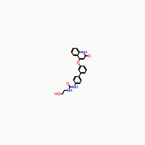 O=C(NCCO)Nc1ccc(-c2cccc(Oc3cc(=O)[nH]c4ccccc34)c2)cc1